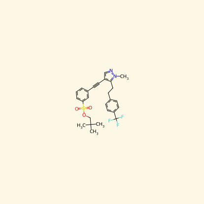 Cn1ncc(C#Cc2cccc(S(=O)(=O)OCC(C)(C)C)c2)c1CCc1ccc(C(F)(F)F)cc1